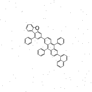 c1ccc(-c2c3ccc(-c4cccc5ccccc45)cc3c(-c3ccccc3)c3ccc(-c4cc(-c5ccccc5)c5c(c4)oc4ccccc45)cc23)cc1